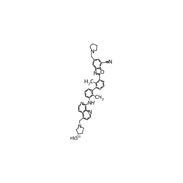 Cc1c(Nc2nccc3c(CN4CC[C@H](O)C4)ccnc23)cccc1-c1cccc(-c2nc3cc(CN4CCCC4)cc(C#N)c3o2)c1C